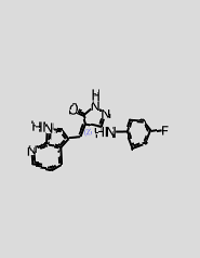 O=C1NN=C(Nc2ccc(F)cc2)/C1=C/c1c[nH]c2ncccc12